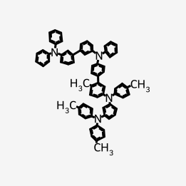 Cc1ccc(N(c2ccc(C)cc2)c2cccc(N(c3ccc(C)cc3)c3ccc(C)c(-c4ccc(N(c5ccccc5)c5cccc(-c6cccc(N(c7ccccc7)c7ccccc7)c6)c5)cc4)c3)c2)cc1